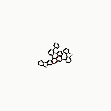 c1ccc(-c2ccccc2-c2c(-c3ccccc3)cccc2N(c2ccc(-c3cccc4oc5ccccc5c34)cc2)c2ccc3sc4ccccc4c3c2)cc1